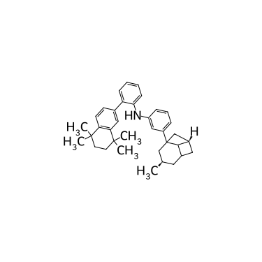 C[C@@H]1CC2C[C@H]3CC(c4cccc(Nc5ccccc5-c5ccc6c(c5)C(C)(C)CCC6(C)C)c4)(C1)C23